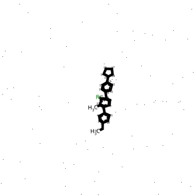 CCc1ccc(-c2ccc(-c3ccc(C4CCCC4)cc3)c(F)c2C)cc1